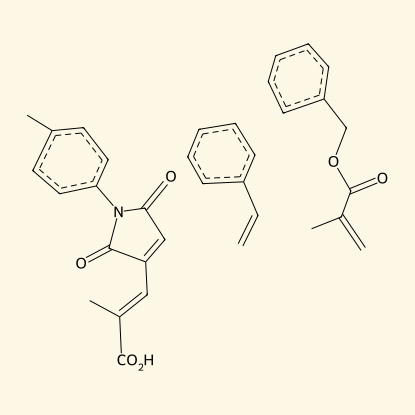 C=C(C)C(=O)OCc1ccccc1.C=Cc1ccccc1.CC(=CC1=CC(=O)N(c2ccc(C)cc2)C1=O)C(=O)O